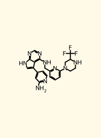 Nc1cc(-c2c[nH]c3ncnc(NCc4cccc(N5CCNC(C(F)(F)F)C5)n4)c23)ccn1